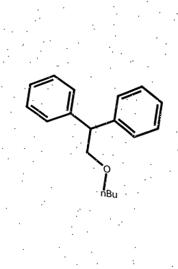 CCCCOCC(c1ccccc1)c1ccccc1